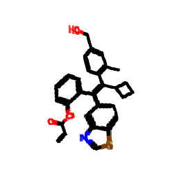 C=CC(=O)Oc1ccccc1/C(=C(\c1ccc(CO)cc1C)C1CCC1)c1ccc2scnc2c1